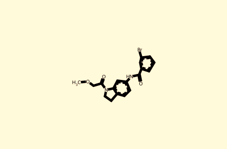 COCC(=O)N1CCc2ccc(NC(=O)c3cccc(Br)c3)cc21